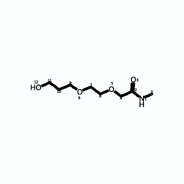 CNC(=O)COCCOCCCO